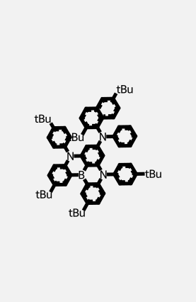 CC(C)(C)c1ccc(N2c3ccc(C(C)(C)C)cc3B3c4cc(C(C)(C)C)ccc4N(c4ccc(C(C)(C)C)cc4)c4cc(N(c5ccccc5)c5c(C(C)(C)C)ccc6cc(C(C)(C)C)ccc56)cc2c43)cc1